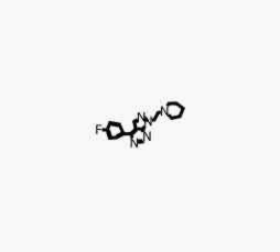 Fc1ccc(-c2ncnc3c2cnn3CCN2CCCCC2)cc1